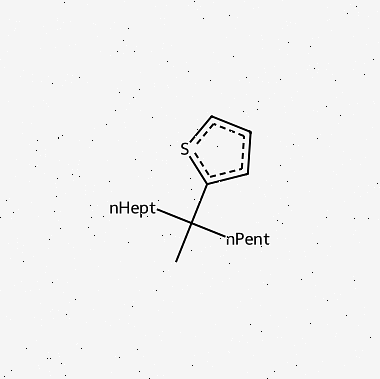 CCCCCCCC(C)(CCCCC)c1cccs1